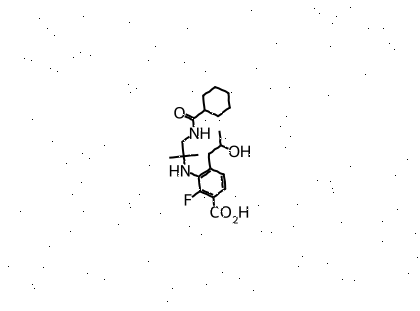 CC(O)Cc1ccc(C(=O)O)c(F)c1NC(C)(C)CNC(=O)C1CCCCC1